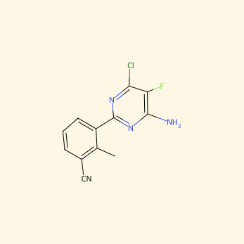 Cc1c(C#N)cccc1-c1nc(N)c(F)c(Cl)n1